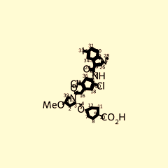 CO[C@H]1C[C@@H](CO[C@H]2CC[C@H](C(=O)O)CC2)N(C(=O)Cc2cc(Cl)c(NC(=O)c3cn(C)c4ccc(I)cc34)cc2Cl)C1